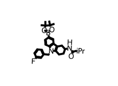 CC(C)C(=O)NC1CCc2c(c3cc(B4OC(C)(C)C(C)(C)O4)ccc3n2Cc2cccc(F)c2)C1